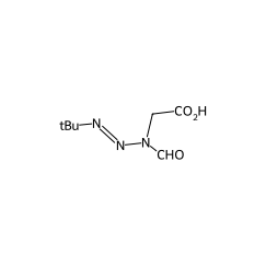 CC(C)(C)N=NN(C=O)CC(=O)O